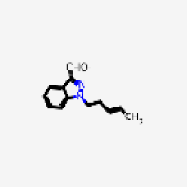 C/C=C/CCn1nc([C]=O)c2ccccc21